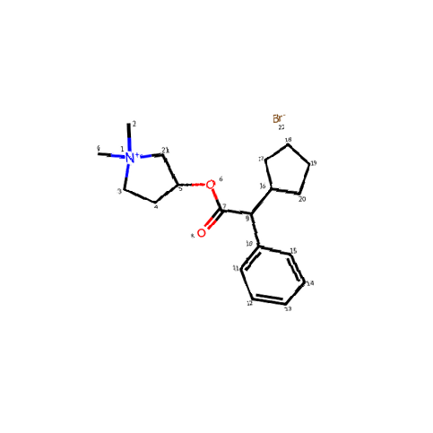 C[N+]1(C)CCC(OC(=O)C(c2ccccc2)C2CCCC2)C1.[Br-]